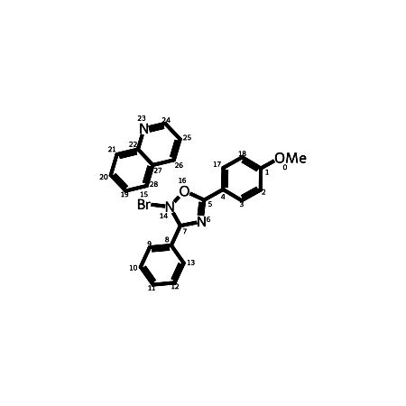 COc1ccc(C2=NC(c3ccccc3)N(Br)O2)cc1.c1ccc2ncccc2c1